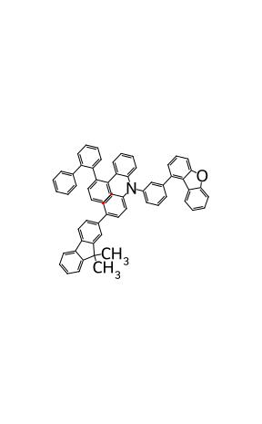 CC1(C)c2ccccc2-c2ccc(-c3ccc(N(c4cccc(-c5cccc6oc7ccccc7c56)c4)c4ccccc4-c4ccccc4-c4ccccc4-c4ccccc4)cc3)cc21